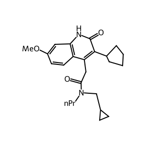 CCCN(CC1CC1)C(=O)Cc1c(C2CCCC2)c(=O)[nH]c2cc(OC)ccc12